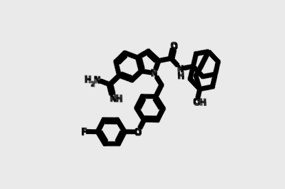 N=C(N)c1ccc2cc(C(=O)NC34CC5CC(CC(O)(C5)C3)C4)n(Cc3ccc(Oc4ccc(F)cc4)cc3)c2c1